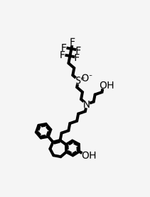 [O-][S+](CCCN(CCCO)CCCCCCC1=C(c2ccccc2)CCCc2cc(O)ccc21)CCCC(F)(F)C(F)(F)F